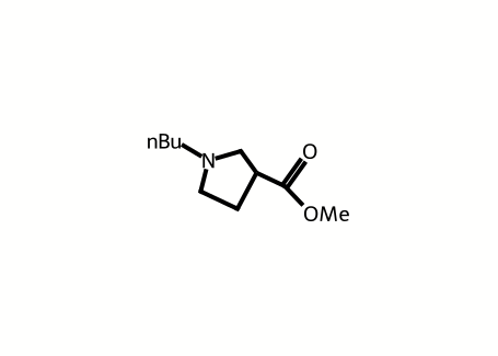 CCCCN1CCC(C(=O)OC)C1